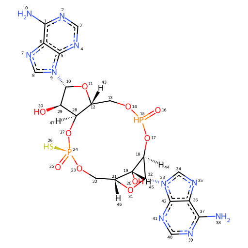 Nc1ncnc2c1ncn2[C@@H]1O[C@@H]2CO[PH](=O)O[C@@H]3[C@H](O)[C@@H](CO[P@@](=O)(S)O[C@H]2[C@H]1O)O[C@H]3n1cnc2c(N)ncnc21